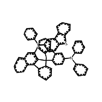 c1ccc(N(c2ccccc2)c2ccc3c(c2)-c2ccccc2C32c3ccccc3-c3c2c(N(c2ccccc2)c2ccc4sc5ccccc5c4c2)cc2ccccc32)cc1